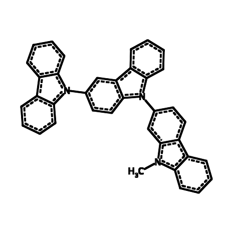 Cn1c2ccccc2c2ccc(-n3c4ccccc4c4cc(-n5c6ccccc6c6ccccc65)ccc43)cc21